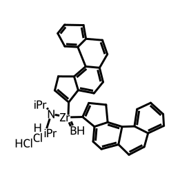 Cl.Cl.[BH]=[Zr]([C]1=CCc2c1ccc1ccc3ccccc3c21)([C]1=CCc2c1ccc1ccc3ccccc3c21)[N](C(C)C)C(C)C